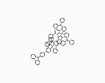 c1ccc(N(c2ccccc2)c2cccc3c2-c2ccc(-c4cccc(N(c5ccccc5)c5cccc6c5C5(c7ccccc7-6)c6ccc(-c7ccc(-n8c9ccccc9c9ccccc98)cc7)cc6-c6sc7ccccc7c65)c4)cc2C32c3cccc(N(c4ccccc4)c4ccccc4)c3-c3c2oc2ccccc32)cc1